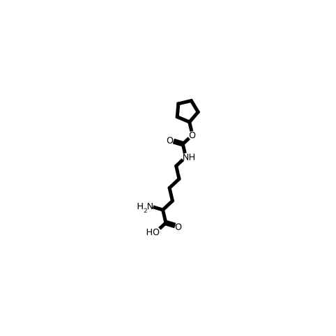 NC(CCCCNC(=O)OC1CCCC1)C(=O)O